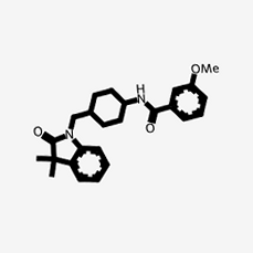 COc1cccc(C(=O)NC2CCC(CN3C(=O)C(C)(C)c4ccccc43)CC2)c1